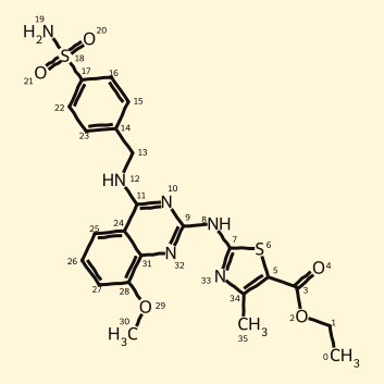 CCOC(=O)c1sc(Nc2nc(NCc3ccc(S(N)(=O)=O)cc3)c3cccc(OC)c3n2)nc1C